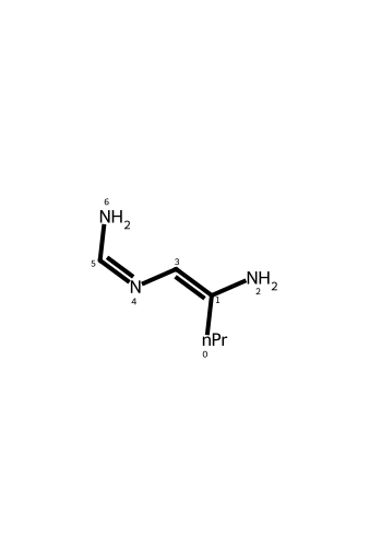 CCC/C(N)=C\N=C/N